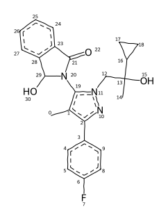 Cc1c(-c2ccc(F)cc2)nn(CC(C)(O)C2CC2)c1N1C(=O)c2ccccc2C1O